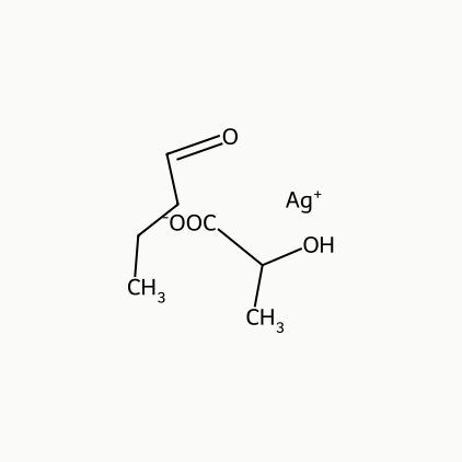 CC(O)C(=O)[O-].CCCC=O.[Ag+]